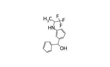 CC(Nc1cccc(C(O)c2ccccc2)c1)C(F)(F)F